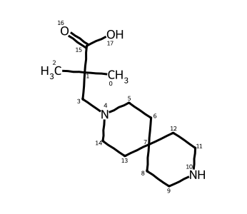 CC(C)(CN1CCC2(CCNCC2)CC1)C(=O)O